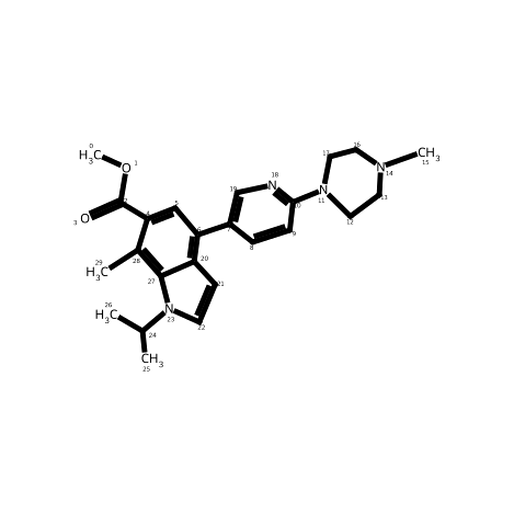 COC(=O)c1cc(-c2ccc(N3CCN(C)CC3)nc2)c2ccn(C(C)C)c2c1C